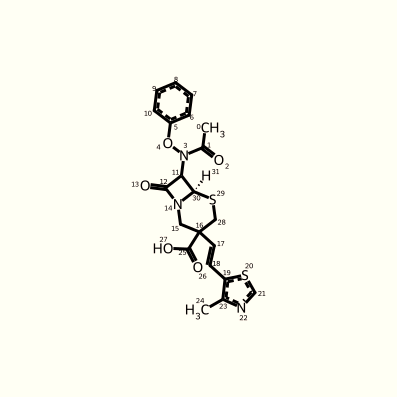 CC(=O)N(Oc1ccccc1)C1C(=O)N2CC(C=Cc3scnc3C)(C(=O)O)CS[C@H]12